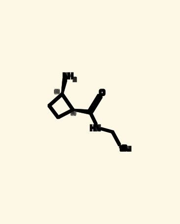 CC(C)(C)CNC(=O)[C@H]1CC[C@H]1N